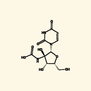 O=C(O)N[C@@]1(O)[C@@H](O)[C@@H](CO)O[C@H]1n1ccc(=O)[nH]c1=O